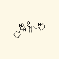 O=C(NCCc1ccccn1)c1nc(-c2ccccc2)no1